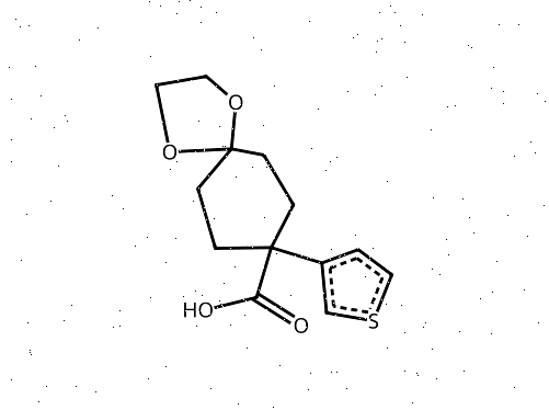 O=C(O)C1(c2ccsc2)CCC2(CC1)OCCO2